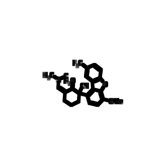 COc1ccc(C2(C#N)CCCC(=CN(C)C)C2=O)c2c1oc1ccc(C(F)(F)F)cc12